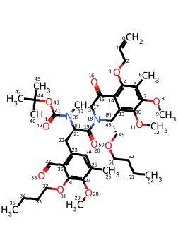 C=CCOc1c(C)c(OC)c(OC)c2c1C(=O)CN(C(=O)[C@@H](Cc1cc(C)c(OC)c(OCCCC)c1C=O)N(C)C(=O)OC(C)(C)C)[C@H]2COCCCC